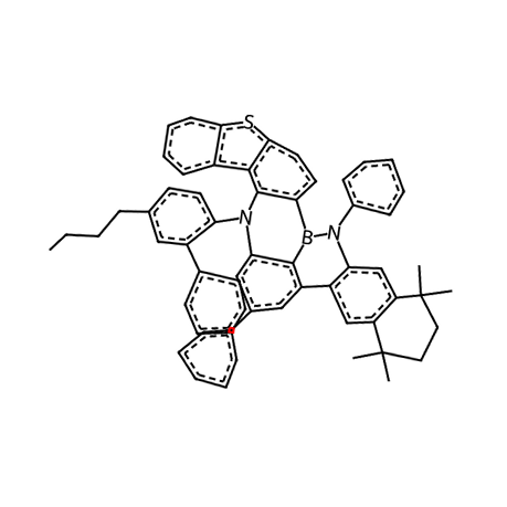 CCCCc1ccc(N2c3cc(-c4ccccc4)cc4c3B(c3ccc5sc6ccccc6c5c32)N(c2ccccc2)c2cc3c(cc2-4)C(C)(C)CCC3(C)C)c(-c2ccccc2)c1